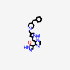 O=C1NN=CC1C1=NC=CNC1=Cc1cc(CN2CCC(Cc3ccccc3)CC2)c[nH]1